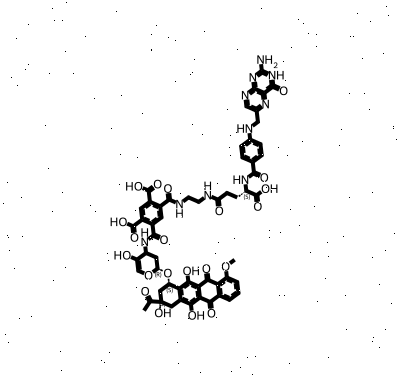 COc1cccc2c1C(=O)c1c(O)c3c(c(O)c1C2=O)C[C@@](O)(C(C)=O)C[C@@H]3O[C@H]1CC(NC(=O)c2cc(C(=O)NCCNC(=O)CC[C@H](NC(=O)c3ccc(NCc4cnc5nc(N)[nH]c(=O)c5n4)cc3)C(=O)O)c(C(=O)O)cc2C(=O)O)C(O)=CO1